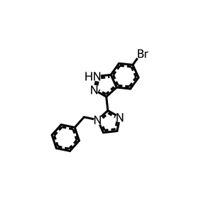 Brc1ccc2c(-c3nccn3Cc3ccccc3)n[nH]c2c1